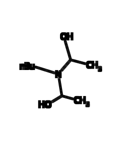 [CH2]CCCN(C(C)O)C(C)O